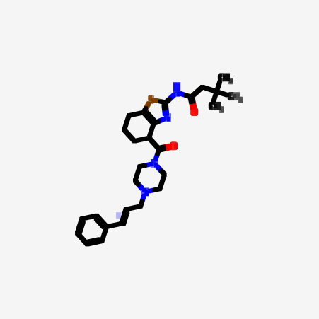 CC(C)(C)CC(=O)Nc1nc2c(s1)CCCC2C(=O)N1CCN(C/C=C/c2ccccc2)CC1